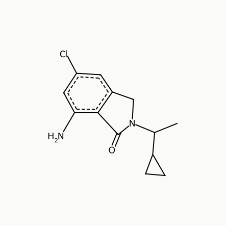 CC(C1CC1)N1Cc2cc(Cl)cc(N)c2C1=O